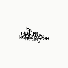 Cc1c(NC(c2nnc(-c3ccc(O)cc3)o2)[C@H](C)O)ccc(C#N)c1Cl